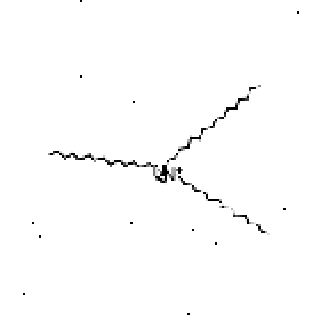 CCCCCCCCCCCCCCCCc1n(CCCCCCCCCCCCCC)cc[n+]1CCCCCCCCCCCCCCC